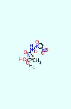 CC1(C)SC2C(NC(=O)Cn3cc([N+](=O)[O-])ccc3=O)C(=O)N2C1C(=O)O